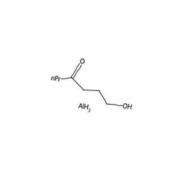 CCCC(=O)CCCO.[AlH3]